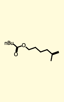 C=C(C)CCCCOC(=O)CCCC